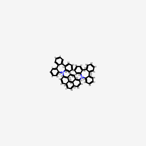 c1ccc2c(c1)-c1ccccc1N(c1ccc3ccc4ccc(N5c6ccccc6-c6ccccc6-c6ccccc65)c5ccc1c3c45)c1ccccc1-2